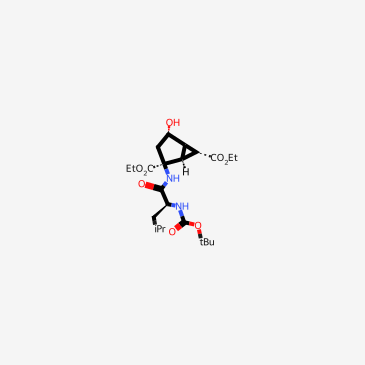 CCOC(=O)[C@H]1C2[C@@H](O)C[C@@](NC(=O)[C@H](CC(C)C)NC(=O)OC(C)(C)C)(C(=O)OCC)[C@@H]21